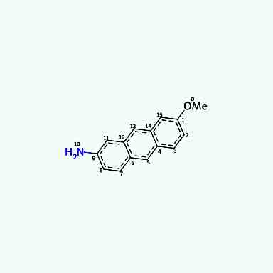 COc1ccc2cc3ccc(N)cc3cc2c1